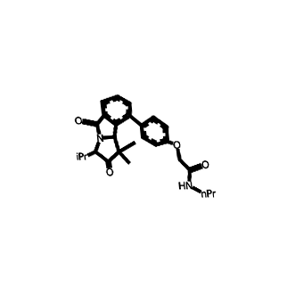 CCCNC(=O)COc1ccc(-c2cccc3c2C2N(C3=O)C(C(C)C)C(=O)C2(C)C)cc1